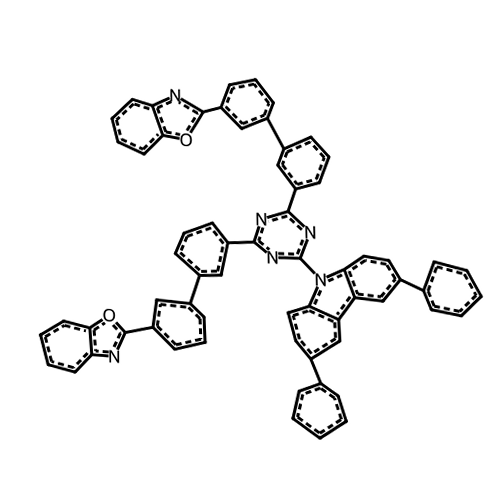 c1ccc(-c2ccc3c(c2)c2cc(-c4ccccc4)ccc2n3-c2nc(-c3cccc(-c4cccc(-c5nc6ccccc6o5)c4)c3)nc(-c3cccc(-c4cccc(-c5nc6ccccc6o5)c4)c3)n2)cc1